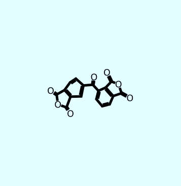 O=C1OC(=O)c2cc(C(=O)c3cccc4c3C(=O)OC4=O)ccc21